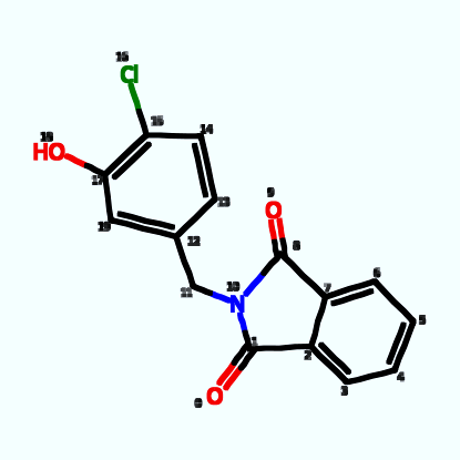 O=C1c2ccccc2C(=O)N1Cc1ccc(Cl)c(O)c1